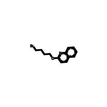 BrCCCCOc1ccc2ccccc2n1